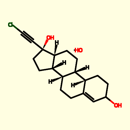 OC1C=C2CC[C@@H]3[C@H](CC[C@H]4[C@H]3CC[C@@]4(O)C#CCl)[C@H]2CC1.[OH]